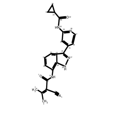 CC(C)=C(C#N)C(=O)Nc1cccc2c(-c3ccnc(NC(=O)C4CC4)c3)n[nH]c12